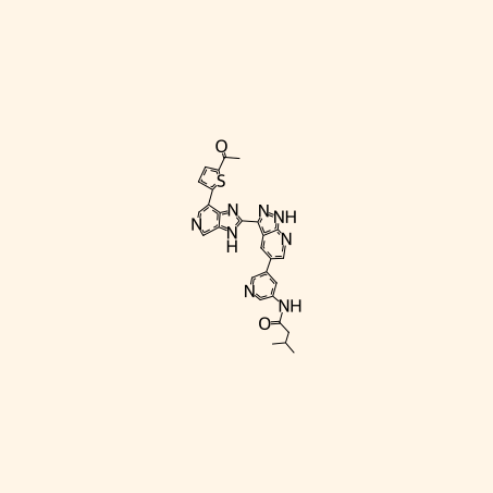 CC(=O)c1ccc(-c2cncc3[nH]c(-c4n[nH]c5ncc(-c6cncc(NC(=O)CC(C)C)c6)cc45)nc23)s1